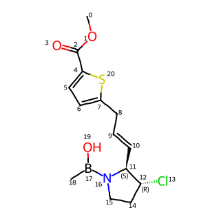 COC(=O)c1ccc(CC=C[C@H]2[C@H](Cl)CCN2B(C)O)s1